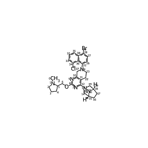 CN1CCCC1COc1nc2c(c(N3C[C@H]4CC[C@@H](C3)N4)n1)CCN(c1ccc(Br)c3cccc(Cl)c13)C2